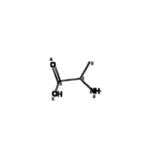 CC([NH])C(=O)O